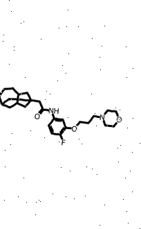 O=C(CC12CC3CCCC(C1)C(C3)C2)Nc1ccc(F)c(OCCCN2CCOCC2)c1